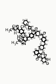 Cc1cc(F)c(Nc2nc(-c3ccc4c(c3)N([C@H]3C[C@@H](N5CCCCC5)C3)C(=O)C43CCN(C(=O)c4ccc(CC5CCN(c6cccc7c6C(=O)N(C6CCC(=O)NC6=O)C7=O)CC5)cc4)CC3)cc3ncn(C(C)C)c23)cc1C(=O)NC(C)C